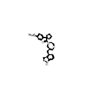 COc1ccc(C2(C(=O)N3CCOCC(Cc4cccc5[nH]ncc45)C3)CCCC2)cc1